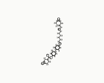 O=C(Oc1ccc(-c2ccc(OCCCCCCOCC3CCC4OC4C3)cc2)cc1)C1CCC2OC2C1